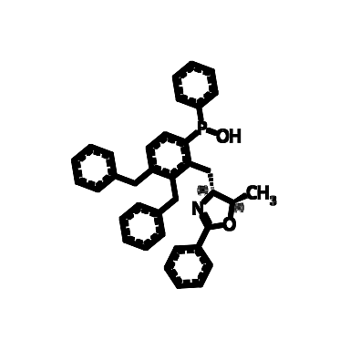 C[C@H]1OC(c2ccccc2)=N[C@@H]1Cc1c(P(O)c2ccccc2)ccc(Cc2ccccc2)c1Cc1ccccc1